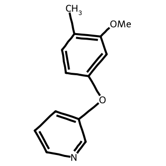 COc1cc(Oc2cccnc2)ccc1C